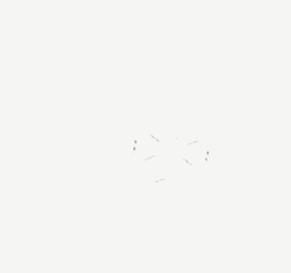 CCCc1cc(CCC)c2c(c1)C(C=O)c1ccccc1S2